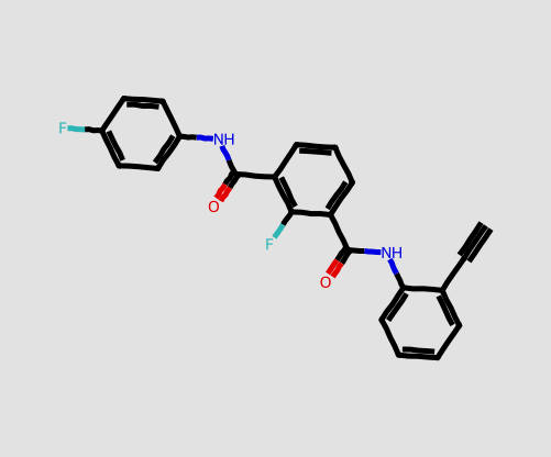 C#Cc1ccccc1NC(=O)c1cccc(C(=O)Nc2ccc(F)cc2)c1F